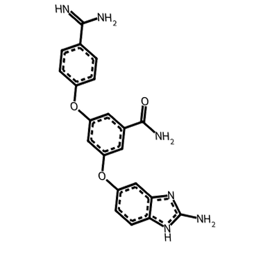 N=C(N)c1ccc(Oc2cc(Oc3ccc4[nH]c(N)nc4c3)cc(C(N)=O)c2)cc1